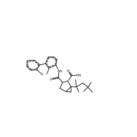 CC(C)(C)CC(C)(C)C12CC1CC(C(=O)Nc1cccc(-c3ccccc3Cl)c1F)N2C(=O)O